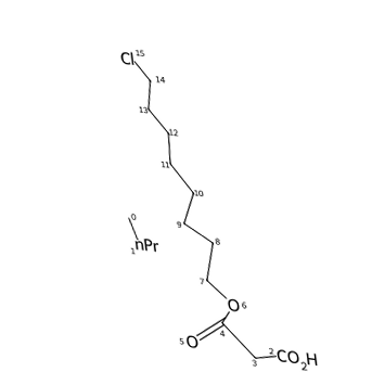 CCCC.O=C(O)CC(=O)OCCCCCCCCCl